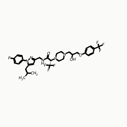 CC(C)Cc1cc(CNC(=O)[C@H](N2CCN(CC(O)COc3ccc(C(F)(F)F)cc3)CC2)C(F)(F)F)nn1-c1ccc(F)cc1